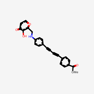 COC(=O)c1ccc(C#CC#Cc2ccc(NCc3occc(=O)c3O)cc2)cc1